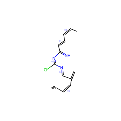 C=C(/C=C\CCC)/C=N/C(Cl)=N\C(=N)/C=C/C=C\C